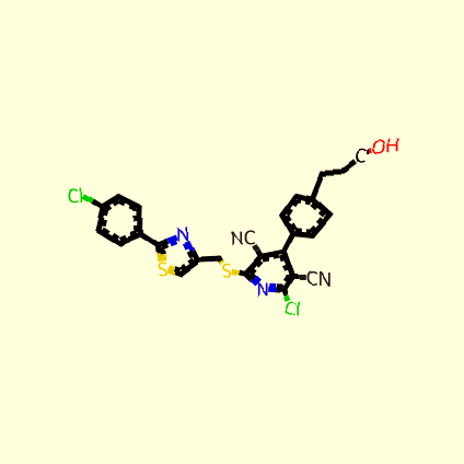 N#Cc1c(Cl)nc(SCc2csc(-c3ccc(Cl)cc3)n2)c(C#N)c1-c1ccc(CCCO)cc1